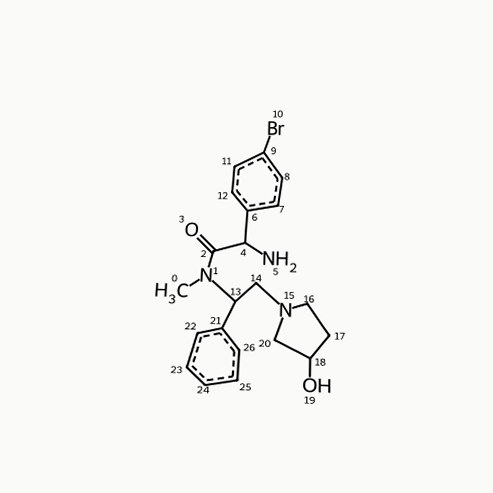 CN(C(=O)C(N)c1ccc(Br)cc1)C(CN1CCC(O)C1)c1ccccc1